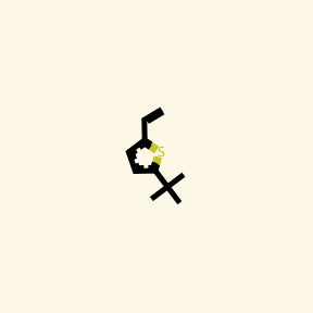 C=Cc1ccc(C(C)(C)C)s1